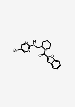 O=C(c1cc2ccccc2o1)N1CCCCC1CNc1ncc(Br)cn1